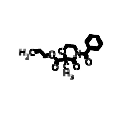 C=CCOC(=O)C1(C)OCCN(C(=O)c2ccccc2)C1=O